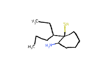 CCCC(CC)C1(S)CCCCC1N